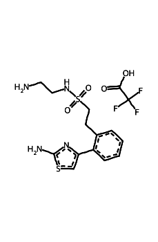 NCCNS(=O)(=O)CCc1ccccc1-c1csc(N)n1.O=C(O)C(F)(F)F